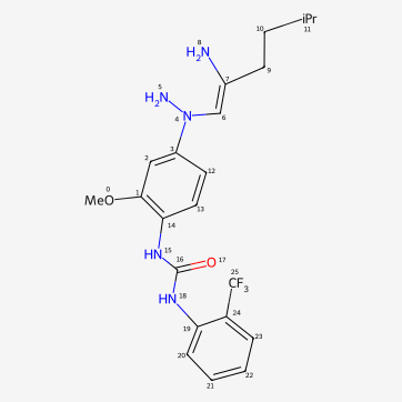 COc1cc(N(N)/C=C(\N)CCC(C)C)ccc1NC(=O)Nc1ccccc1C(F)(F)F